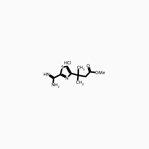 COC(=O)CC(C)(C)c1csc(C(=N)N)n1.Cl